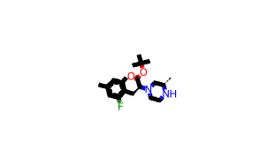 Cc1cc(C)c(C[C@@H](C(=O)OC(C)(C)C)N2CCN[C@@H](C)C2)c(F)c1